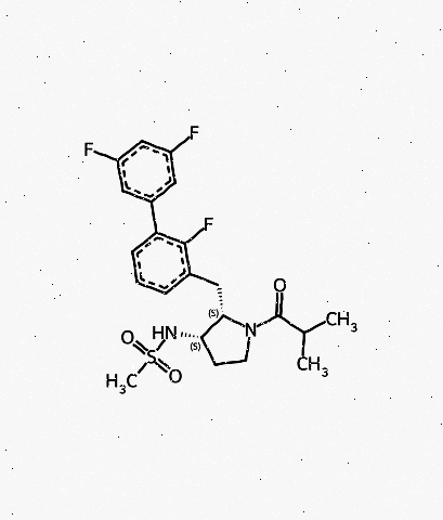 CC(C)C(=O)N1CC[C@H](NS(C)(=O)=O)[C@@H]1Cc1cccc(-c2cc(F)cc(F)c2)c1F